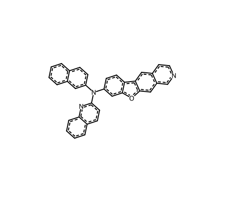 c1ccc2cc(N(c3ccc4c(c3)oc3cc5cnccc5cc34)c3ccc4ccccc4n3)ccc2c1